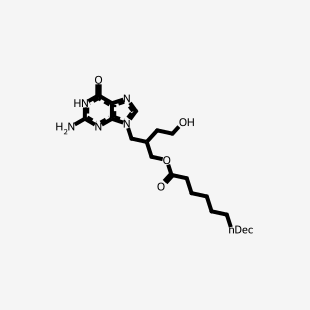 CCCCCCCCCCCCCCCC(=O)OCC(CCO)Cn1cnc2c(=O)[nH]c(N)nc21